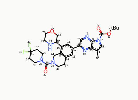 Cc1cn(C(=O)OC(C)(C)C)c2ncc(-c3cc4c(c([C@@H]5COCCN5)c3)CN(C(=O)N3CCC(F)(F)CC3)CC4)nc12